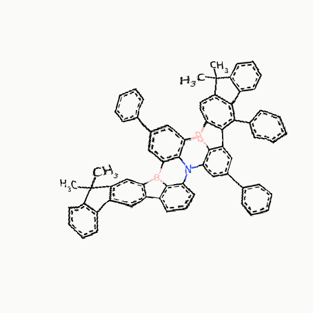 CC1(C)c2ccccc2-c2cc3c(cc21)B1c2cc(-c4ccccc4)cc4c2N(c2cccc-3c21)c1cc(-c2ccccc2)cc2c1B4c1cc3c(c(-c4ccccc4)c1-2)-c1ccccc1C3(C)C